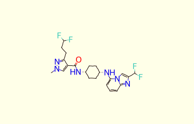 Cn1cc(C(=O)N[C@H]2CC[C@@H](Nc3cccc4nc(C(F)F)cn34)CC2)c(CCC(F)F)n1